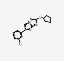 Clc1cccc(-c2cn3nc(OC4CCCC4)sc3n2)c1